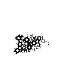 C=CC1=C(/C=C\C)c2cc3c4ccccc4n(-c4c(C#N)c(C)c(C#N)c(-n5c6ccccc6c6cc7c(cc65)C(C)(C)c5ccccc5-7)c4C#N)c3cc2C1(C)C